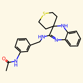 CC(=O)Nc1cccc(CNC2=Nc3ccccc3NC23CCSCC3)c1